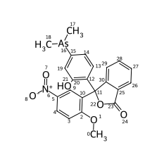 COc1ccc([N+](=O)[O-])cc1C1(c2ccc([As](C)C)cc2O)OC(=O)c2ccccc21